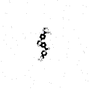 CCC1(F)CCN(C(=O)c2ccc3c(c2)OCCN3c2ccc(/C(N)=N/N)cc2)CC1